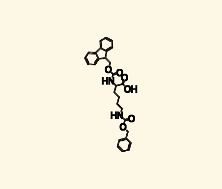 O=C(NCCCCC(NC(=O)OCC1c2ccccc2-c2ccccc21)C(=O)O)OCc1ccccc1